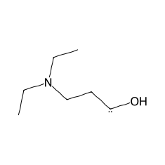 CCN(CC)CC[C]O